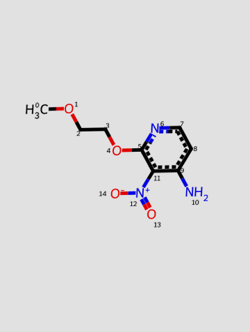 COCCOc1nccc(N)c1[N+](=O)[O-]